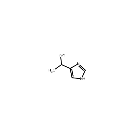 [CH2]CCC(C)c1c[nH]cn1